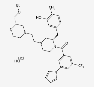 CCOC[C@@H]1CN(CCN2CCN(C(=O)c3cc(-n4cccc4)cc(C(F)(F)F)c3)[C@H](Cc3ccc(C)c(O)c3)C2)CCO1.Cl.Cl